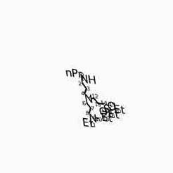 CCCNCCCN(CCCN(C)CC)CCC[Si](CC)(OCC)OCC